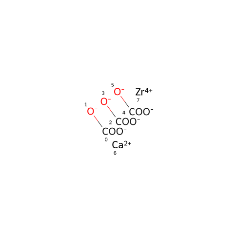 O=C([O-])[O-].O=C([O-])[O-].O=C([O-])[O-].[Ca+2].[Zr+4]